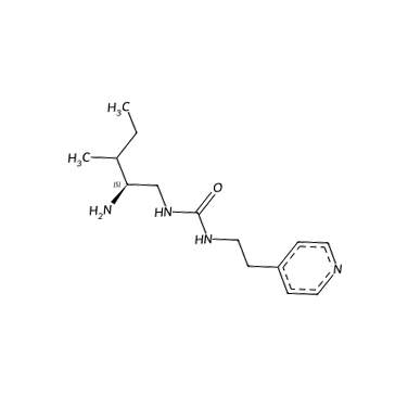 CCC(C)[C@H](N)CNC(=O)NCCc1ccncc1